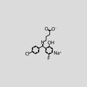 O=C([O-])CCCN=C(c1ccc(Cl)cc1)c1cc(F)ccc1O.[Na+]